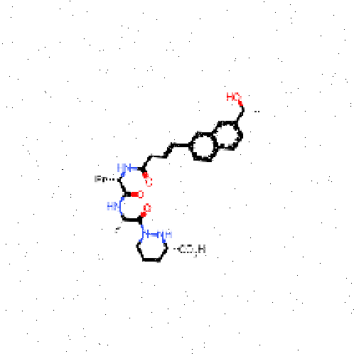 CC(C)[C@H](NC(=O)C/C=C/c1ccc2ccc([C@@H](C)O)cc2c1)C(=O)N[C@@H](C)C(=O)N1CCC[C@@H](C(=O)O)N1